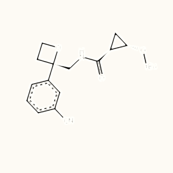 CC(C)(C)O[C@H]1C[C@@H]1C(=O)NC[C@@]1(c2cccc(C#N)c2)CCO1